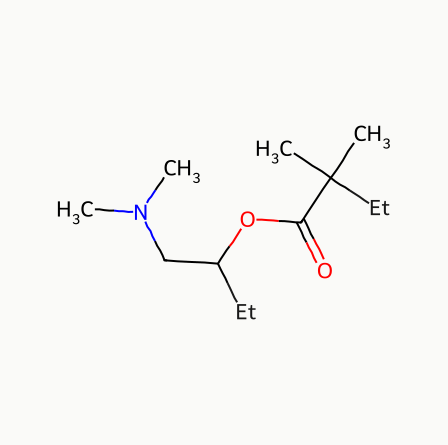 CCC(CN(C)C)OC(=O)C(C)(C)CC